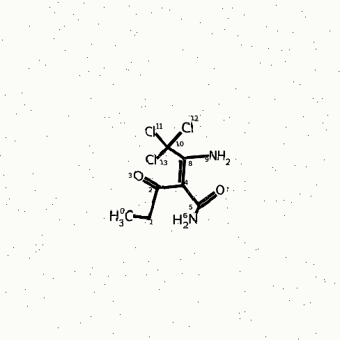 CCC(=O)/C(C(N)=O)=C(/N)C(Cl)(Cl)Cl